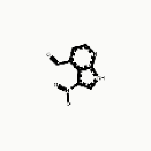 O=Cc1ccnc2[nH]cc([N+](=O)[O-])c12